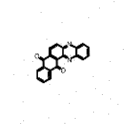 O=C1c2ccccc2C(=O)c2c1ccc1nc3ccccc3nc21